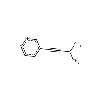 CC(C)C#Cc1ccnnc1